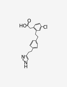 O=C(O)Cc1ccc(Cl)cc1CCc1ccc(CCc2c[nH]cn2)cc1